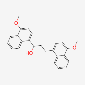 COc1ccc(CCC(O)c2ccc(OC)c3ccccc23)c2ccccc12